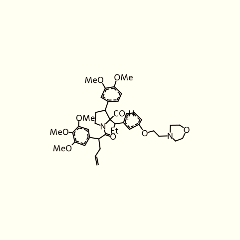 C=CCC(C(=O)N1CCC(c2ccc(OC)c(OC)c2)C1(C(=O)O)C(CC)c1cccc(OCCN2CCOCC2)c1)c1cc(OC)c(OC)c(OC)c1